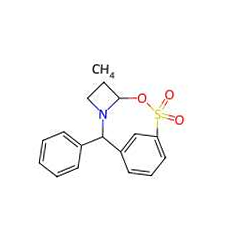 C.O=S1(=O)OC2CCN2C(c2ccccc2)c2cccc1c2